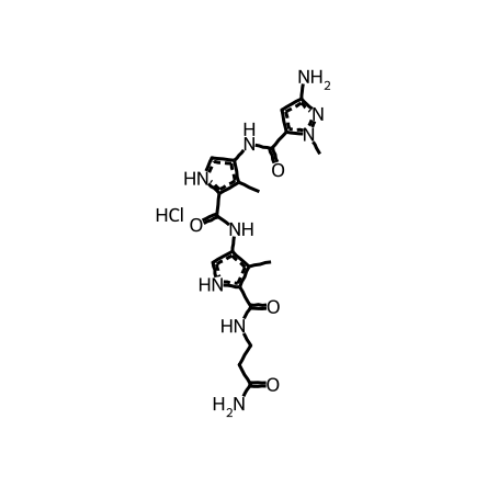 Cc1c(NC(=O)c2[nH]cc(NC(=O)c3cc(N)nn3C)c2C)c[nH]c1C(=O)NCCC(N)=O.Cl